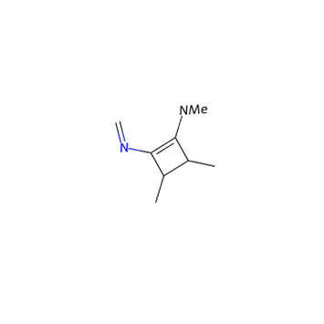 C=NC1=C(NC)C(C)C1C